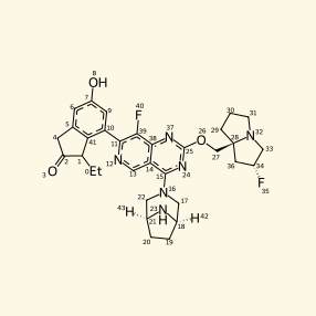 CCC1C(=O)Cc2cc(O)cc(-c3ncc4c(N5C[C@H]6CC[C@@H](C5)N6)nc(OC[C@@]56CCCN5C[C@H](F)C6)nc4c3F)c21